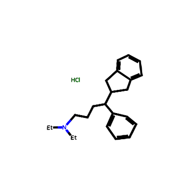 CCN(CC)CCCC(c1ccccc1)C1Cc2ccccc2C1.Cl